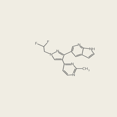 Cc1nccc(-c2cn(CC(F)F)nc2-c2cnc3[nH]ccc3c2)n1